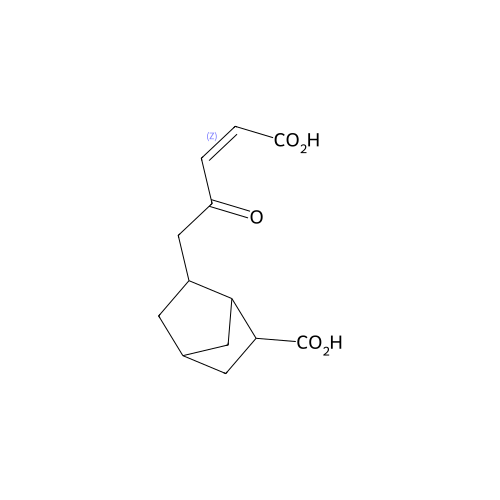 O=C(O)/C=C\C(=O)CC1CC2CC(C(=O)O)C1C2